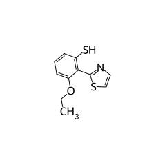 CCOc1cccc(S)c1-c1nccs1